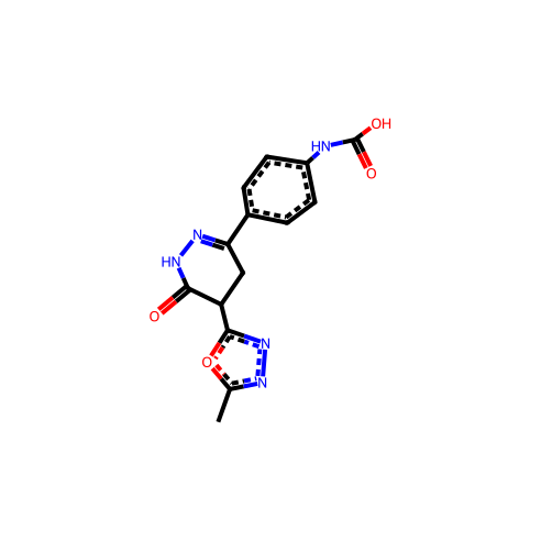 Cc1nnc(C2CC(c3ccc(NC(=O)O)cc3)=NNC2=O)o1